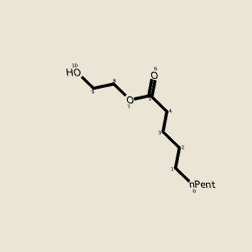 CCCCCCCCCC(=O)OCCO